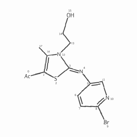 CC(=O)c1s/c(=N\c2ccc(Br)nc2)n(CCO)c1C